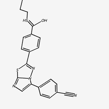 N#Cc1ccc(-c2cnc3sc(-c4ccc(C(O)=[SH]CCO)cc4)nn23)cc1